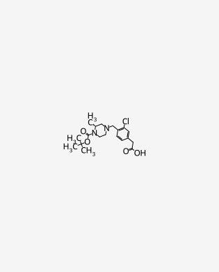 C[C@H]1CN(Cc2ccc(CC(=O)O)cc2Cl)CCN1C(=O)OC(C)(C)C